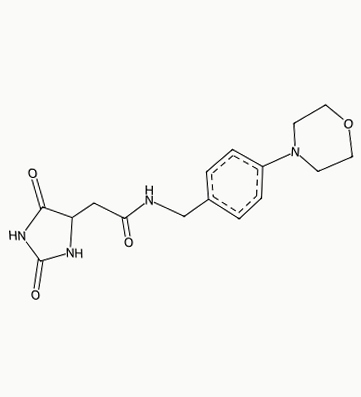 O=C(CC1NC(=O)NC1=O)NCc1ccc(N2CCOCC2)cc1